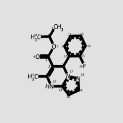 CC1=C(C(=O)OC(C)C)C(c2ccccc2F)n2nccc2N1